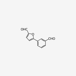 O=Cc1cccc(-c2ccc(C=O)o2)c1